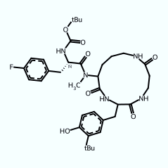 CN(C(=O)[C@H](Cc1ccc(F)cc1)NC(=O)OC(C)(C)C)C1CCCNC(=O)CCNC(=O)C(Cc2ccc(O)c(C(C)(C)C)c2)NC1=O